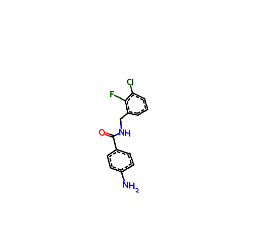 Nc1ccc(C(=O)NCc2cccc(Cl)c2F)cc1